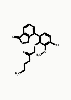 CCCCC(=O)COc1c(-c2cccc3c2COC3=O)ccc(O)c1OC